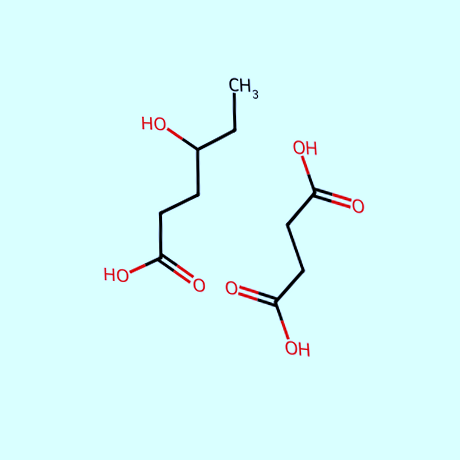 CCC(O)CCC(=O)O.O=C(O)CCC(=O)O